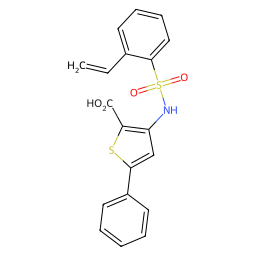 C=Cc1ccccc1S(=O)(=O)Nc1cc(-c2ccccc2)sc1C(=O)O